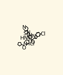 CN1CCc2nc(C(=O)NC3CN(C(=O)C4CCCC4)CCC3NC(=O)c3cc4cc(Cl)ccc4[nH]3)sc2C1.Cl